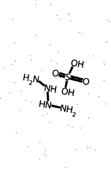 NNNN.O=S(=O)(O)O